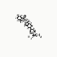 CN(C)c1ncc(-c2ccc(C(F)(F)CNC(=O)c3ccccc3C(F)(F)F)c(F)c2)cn1